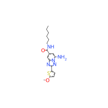 CCCCCCNC(=O)c1cc(N)n2nc(-c3ccc(OC)s3)nc2c1